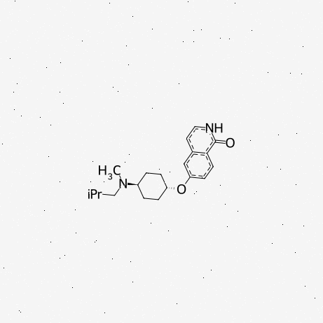 CC(C)CN(C)[C@H]1CC[C@H](Oc2ccc3c(=O)[nH]ccc3c2)CC1